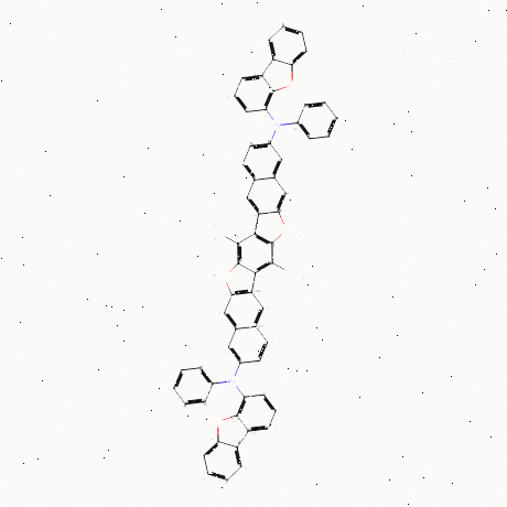 Cc1c2oc3cc4cc(N(c5ccccc5)c5cccc6c5oc5ccccc56)ccc4cc3c2c(C)c2oc3cc4cc(N(c5ccccc5)c5cccc6c5oc5ccccc56)ccc4cc3c12